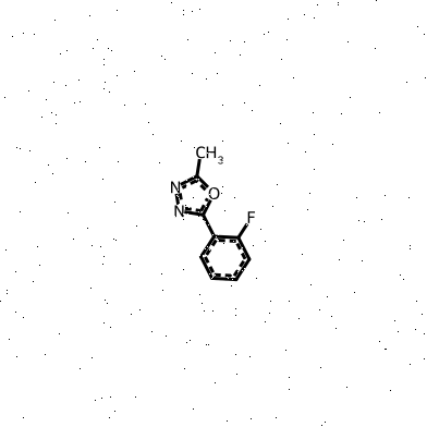 Cc1nnc(-c2ccccc2F)o1